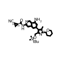 Cc1c(-c2cc(N)c3cnc(NC(=O)[C@H]4C[C@@H]4C#N)cc3c2)c(CO[Si](C)(C)C(C)(C)C)nn1C1CCCCO1